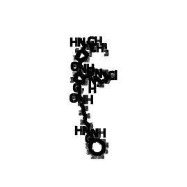 CN(C)C(=N)c1ccc(C(=O)Nc2ccc(OCC(=O)NCCCCCCNC(=N)OC3CCCCCCCC3)cc2C(=O)Nc2ccc(Cl)cn2)cc1